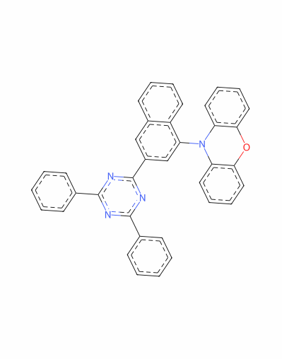 c1ccc(-c2nc(-c3ccccc3)nc(-c3cc(N4c5ccccc5Oc5ccccc54)c4ccccc4c3)n2)cc1